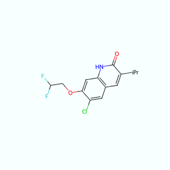 CC(C)c1cc2cc(Cl)c(OCC(F)F)cc2[nH]c1=O